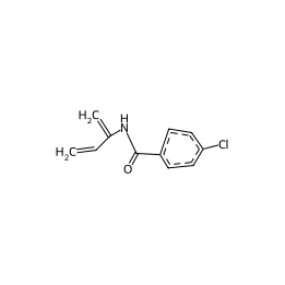 C=CC(=C)NC(=O)c1ccc(Cl)cc1